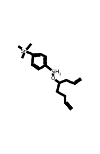 C=CCCC(CC=C)O[SiH2]c1cc[c]([Sn]([CH3])([CH3])[CH3])cc1